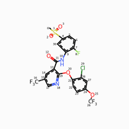 CS(=O)(=O)c1ccc(F)c(NC(=O)c2cc(C(F)(F)F)cnc2Oc2ccc(OC(F)(F)F)cc2Cl)c1